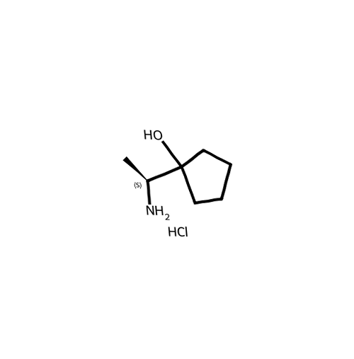 C[C@H](N)C1(O)CCCC1.Cl